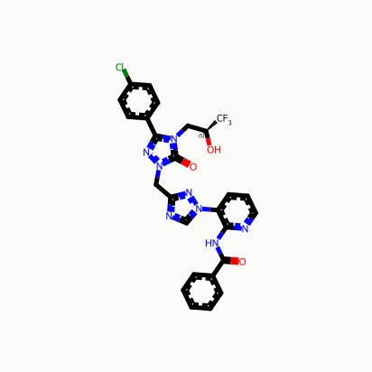 O=C(Nc1ncccc1-n1cnc(Cn2nc(-c3ccc(Cl)cc3)n(C[C@H](O)C(F)(F)F)c2=O)n1)c1ccccc1